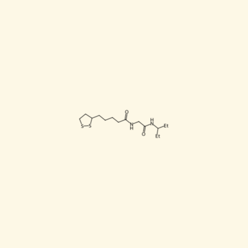 CCC(CC)NC(=O)CNC(=O)CCCCC1CCSS1